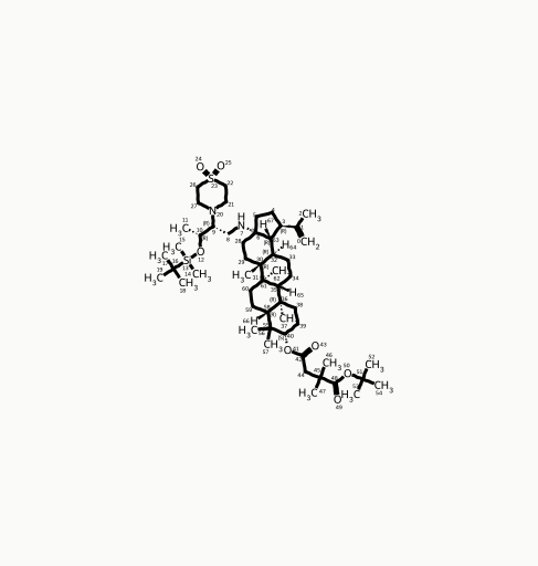 C=C(C)[C@@H]1CC[C@]2(NC[C@H]([C@@H](C)O[Si](C)(C)C(C)(C)C)N3CCS(=O)(=O)CC3)CC[C@]3(C)[C@H](CC[C@@H]4[C@@]5(C)CC[C@H](OC(=O)CC(C)(C)C(=O)OC(C)(C)C)C(C)(C)[C@@H]5CC[C@]43C)[C@@H]12